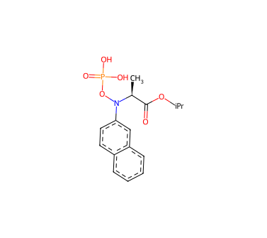 CC(C)OC(=O)[C@H](C)N(OP(=O)(O)O)c1ccc2ccccc2c1